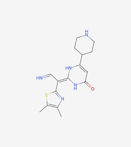 Cc1nc(/C(C=N)=C2\NC(=O)C=C(C3CCNCC3)N2)sc1C